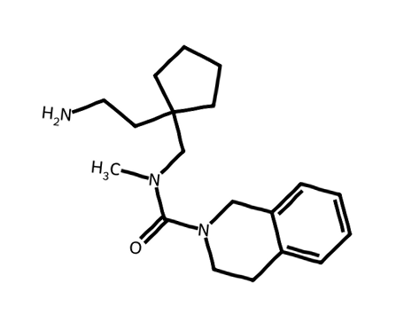 CN(CC1(CCN)CCCC1)C(=O)N1CCc2ccccc2C1